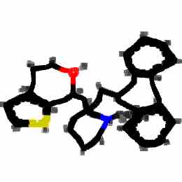 O=C(O)N1CCCC1(CC1c2ccccc2-c2ccccc21)C1OCCc2ccsc21